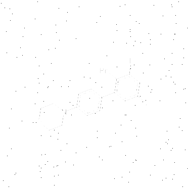 Fc1cc(Cl)cc(-c2ccc(N3CCOCC3)cc2)c1Br